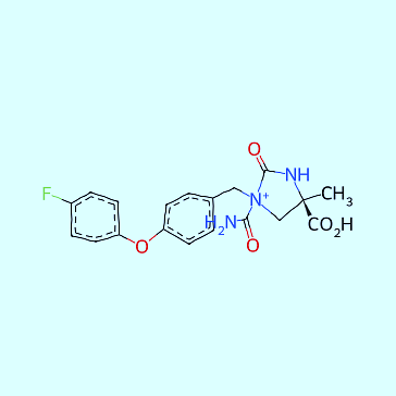 C[C@]1(C(=O)O)C[N+](Cc2ccc(Oc3ccc(F)cc3)cc2)(C(N)=O)C(=O)N1